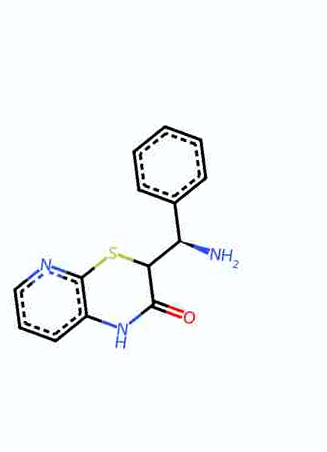 N[C@H](c1ccccc1)C1Sc2ncccc2NC1=O